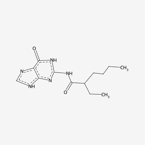 CCCCC(CC)C(=O)Nc1nc2[nH]cnc2c(=O)[nH]1